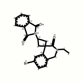 CCN1Cc2ccc(Br)cc2C2(CC(N3C(=O)c4ccccc4C3=O)C2)C1=O